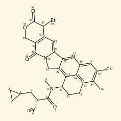 CCC[C@H](CC1CC1)C(=O)N(C)C1CCc2c(C)c(F)cc3nc4c(c1c23)Cn1c-4cc2c(c1=O)COC(=O)C2CC